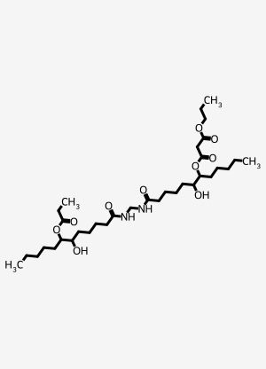 CCCCCC(OC(=O)CC)C(O)CCCCC(=O)NCNC(=O)CCCCC(O)C(CCCCC)OC(=O)CC(=O)OCCC